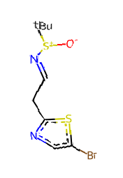 CC(C)(C)[S+]([O-])N=CCc1ncc(Br)s1